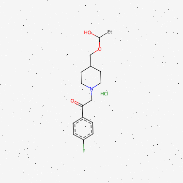 CCC(O)OCC1CCN(CC(=O)c2ccc(F)cc2)CC1.Cl